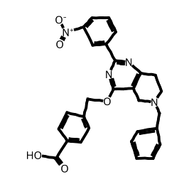 O=C(O)c1ccc(COc2nc(-c3cccc([N+](=O)[O-])c3)nc3c2CN(Cc2ccccc2)CC3)cc1